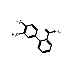 Cc1ccc(-c2ccccc2C(N)=O)cc1C